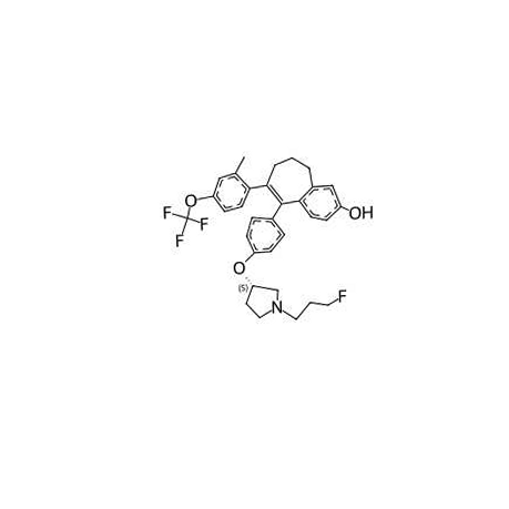 Cc1cc(OC(F)(F)F)ccc1C1=C(c2ccc(O[C@H]3CCN(CCCF)C3)cc2)c2ccc(O)cc2CCC1